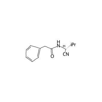 CC(C)[C@H](C#N)NC(=O)Cc1ccccc1